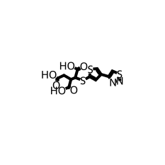 O=C(O)CC(C(=O)O)C(Sc1cc(-c2csnn2)cs1)C(=O)O